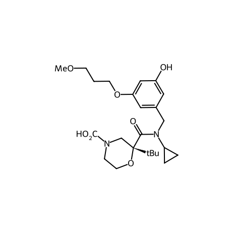 COCCCOc1cc(O)cc(CN(C(=O)[C@@]2(C(C)(C)C)CN(C(=O)O)CCO2)C2CC2)c1